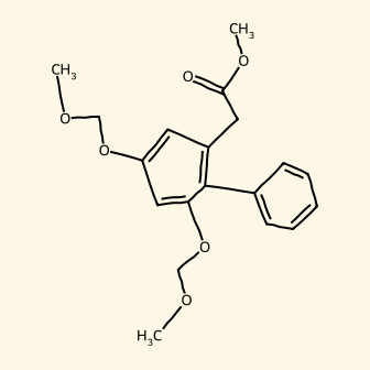 COCOc1cc(CC(=O)OC)c(-c2ccccc2)c(OCOC)c1